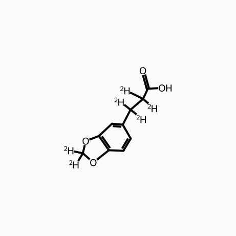 [2H]C1([2H])Oc2ccc(C([2H])([2H])C([2H])([2H])C(=O)O)cc2O1